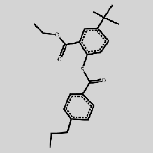 CCCc1ccc(C(=O)Sc2ccc(C(C)(C)C)cc2C(=O)OCC)cc1